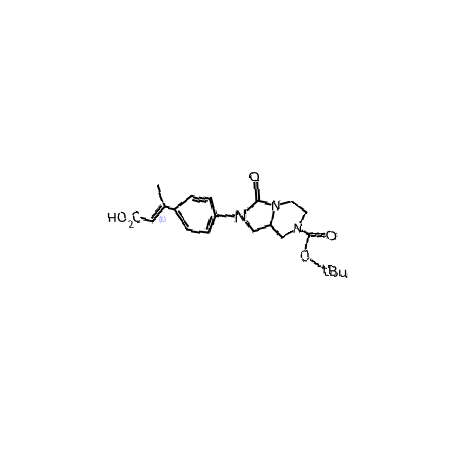 C/C(=C\C(=O)O)c1ccc(N2CC3CN(C(=O)OC(C)(C)C)CCN3C2=O)cc1